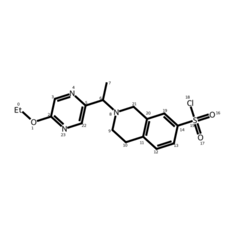 CCOc1cnc(C(C)N2CCc3ccc(S(=O)(=O)Cl)cc3C2)cn1